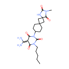 CCCCCN1C(=O)C(=C(N)N)C(=O)N(C2CCC3(CC2)CC2(C3)NC(=O)N(C)C2=O)C1=O